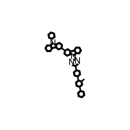 Cc1cc(-c2ccccc2)ccc1-c1ccc(-c2cnc(-n3c4ccccc4c4cc(-c5ccc6c(c5)c5ccccc5n6-c5ccccc5)ccc43)nc2)cc1